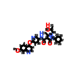 COc1ccc2c(Oc3ccc(NC(=O)c4c(C)n(CC(C)O)n(-c5ccccc5)c4=O)cn3)ccnc2c1